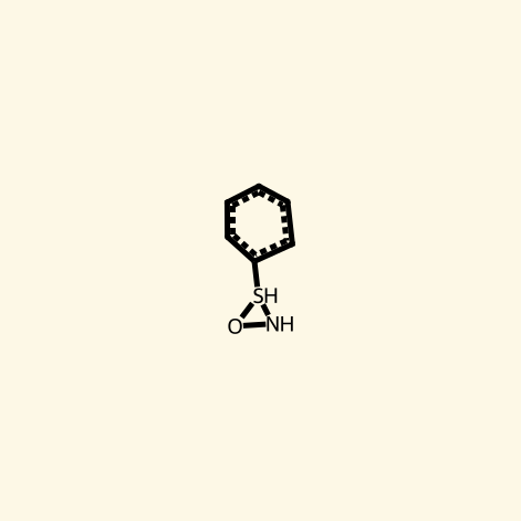 c1ccc([SH]2NO2)cc1